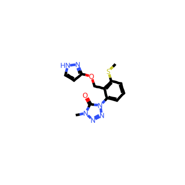 CSc1cccc(-n2nnn(C)c2=O)c1COc1cc[nH]n1